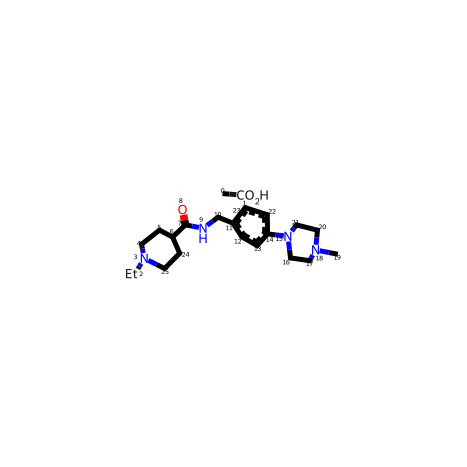 CC(=O)O.CCN1CCC(C(=O)NCc2ccc(N3CCN(C)CC3)cc2)CC1